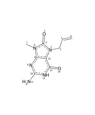 C=CCn1c(=O)n(C)c2nc(N)[nH]c(=O)c21